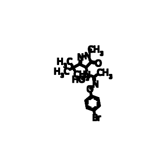 CC(=NOc1ccc(Br)cc1)N(O)C1C(=O)N(C)N=C1C(C)(C)C